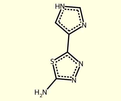 Nc1nnc(-c2c[nH]cn2)s1